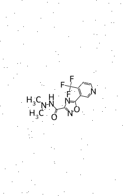 CN(C)NC(=O)c1noc(-c2cnccc2C(F)(F)F)n1